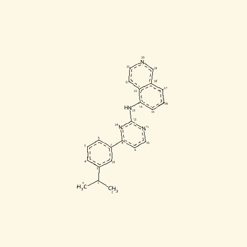 CC(C)c1cccc(-c2ccnc(Nc3cccc4cnccc34)n2)c1